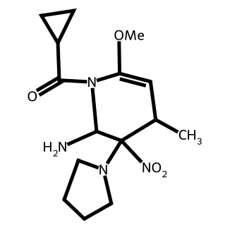 COC1=CC(C)C(N2CCCC2)([N+](=O)[O-])C(N)N1C(=O)C1CC1